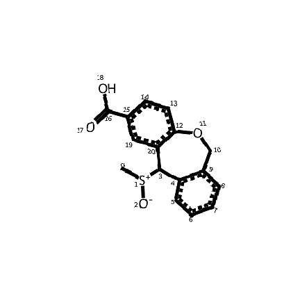 C[S+]([O-])C1c2ccccc2COc2ccc(C(=O)O)cc21